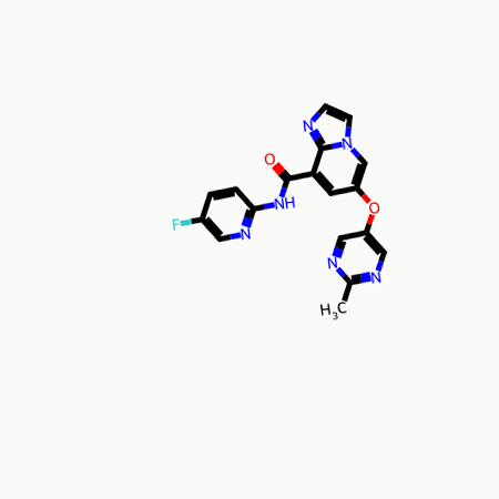 Cc1ncc(Oc2cc(C(=O)Nc3ccc(F)cn3)c3nccn3c2)cn1